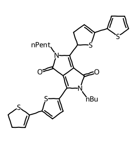 CCCCCN1C(=O)C2=C(c3ccc(C4=CCCS4)s3)N(CCCC)C(=O)C2=C1C1CC=C(c2cccs2)S1